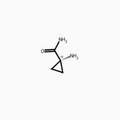 NC(=O)[C@]1(N)[CH]C1